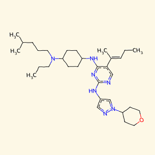 CC/C=C(\C)c1cnc(Nc2cnn(C3CCOCC3)c2)nc1NC1CCC(N(CCC)CCCC(C)C)CC1